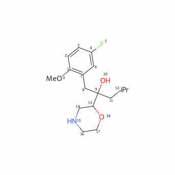 COc1ccc(F)cc1CC(O)(CC(C)C)C1CNCCO1